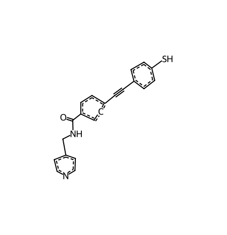 O=C(NCc1ccncc1)c1ccc(C#Cc2ccc(S)cc2)cc1